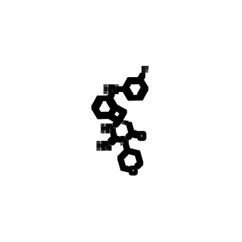 N=C1N[C@]2(CC(=O)N1C1CCOCC1)Cc1c(Nc3cccc(F)c3)cccc12